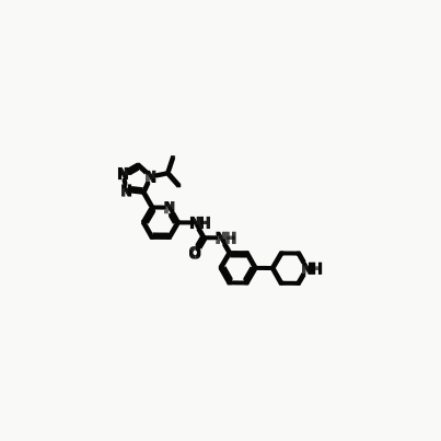 CC(C)n1cnnc1-c1cccc(NC(=O)Nc2cccc(C3CCNCC3)c2)n1